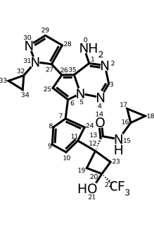 Nc1ncnn2c(-c3cccc([C@]4(C(=O)NC5CC5)C[C@@](O)(C(F)(F)F)C4)c3)cc(-c3ccnn3C3CC3)c12